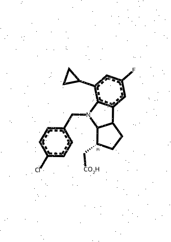 O=C(O)C[C@H]1CCC2c3cc(F)cc(C4CC4)c3N(Cc3ccc(Cl)cc3)C21